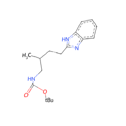 CC(CCc1nc2ccccc2[nH]1)CNC(=O)OC(C)(C)C